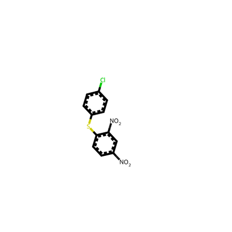 O=[N+]([O-])c1ccc(Sc2ccc(Cl)cc2)c([N+](=O)[O-])c1